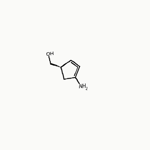 NC1=C=C[C@H](CO)C1